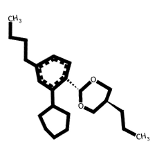 CCCCc1ccc([C@H]2OC[C@H](CCC)CO2)c(C2CCCCC2)c1